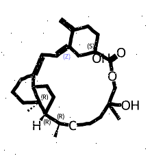 C=C1CC[C@]2(O)C/C1=C/C=C1CCC[C@@]3(C)C1CC[C@@H]3[C@H](C)CCCC(C)(O)COC2=O